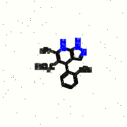 CCCCc1ccccc1C1C(C(=O)OCC)=C(CCC)Nc2[nH]ncc21